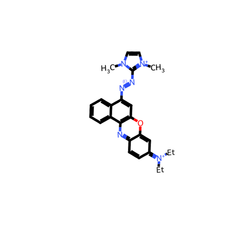 CC[N+](CC)=c1ccc2nc3c(cc(/N=N/c4n(C)cc[n+]4C)c4ccccc43)oc-2c1